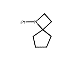 CC(C)N1CCC12CCCC2